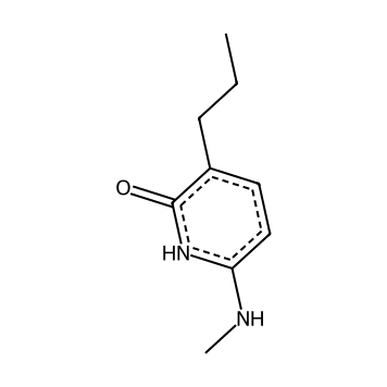 CCCc1ccc(NC)[nH]c1=O